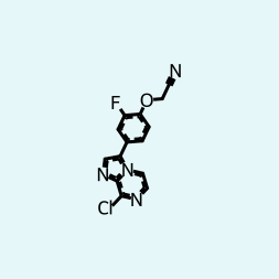 N#CCOc1ccc(-c2cnc3c(Cl)nccn23)cc1F